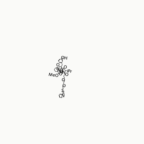 COC(=O)C1CCCN(C(=O)C(Cc2cccc(O)c2)NC(=O)C(NC(=O)CCOCCOCCSSc2ccccn2)C(C)C)N1